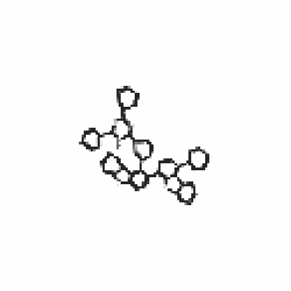 c1ccc(C2=NC(c3cccc(-c4c(-c5ccc(-c6ccccc6)c6c5sc5ccccc56)ccc5oc6ccccc6c45)c3)NC(c3ccccc3)=N2)cc1